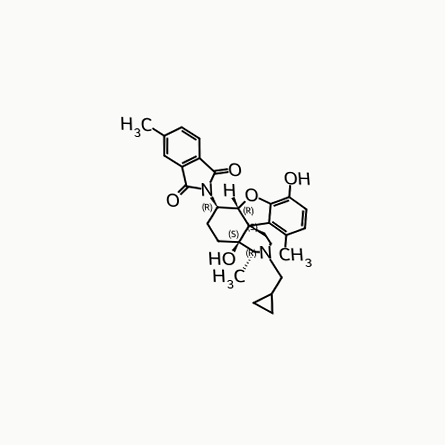 Cc1ccc2c(c1)C(=O)N([C@@H]1CC[C@@]3(O)[C@@H](C)N(CC4CC4)CC[C@@]34c3c(C)ccc(O)c3O[C@@H]14)C2=O